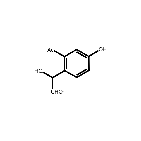 CC(=O)c1cc(O)ccc1C(O)[C]=O